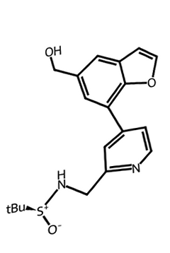 CC(C)(C)[S@+]([O-])NCc1cc(-c2cc(CO)cc3ccoc23)ccn1